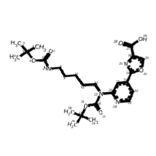 CC(C)(C)OC(=O)NCCCCCN(C(=O)OC(C)(C)C)c1cc(-c2nc(C(=O)O)co2)ccn1